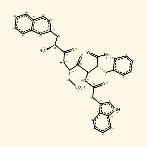 NC(=O)[C@H](Cc1ccccc1)N(NC(=O)Cc1c[nH]c2ccccc12)C(=O)[C@H](CC(=O)O)NC(=O)[C@@H](N)Cc1ccc2ccccc2c1